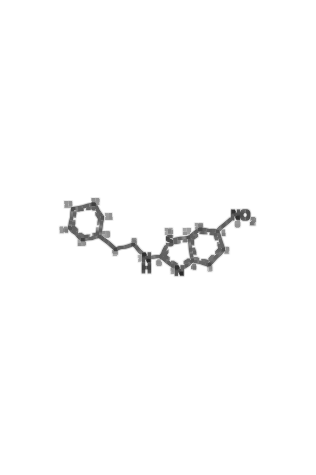 O=[N+]([O-])c1ccc2nc(NCCc3ccccc3)sc2c1